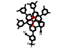 Cc1cc(C)cc(-c2ccc3c(c2)c2cc(-c4cc(C)cc(C)c4)ccc2n3-c2ccc(-c3ccc(C(F)(F)F)cc3C#N)cc2-c2c(C#N)cccc2-n2c3ccc(-c4cc(C)cc(C)c4)cc3c3cc(-c4cc(C)cc(C)c4)ccc32)c1